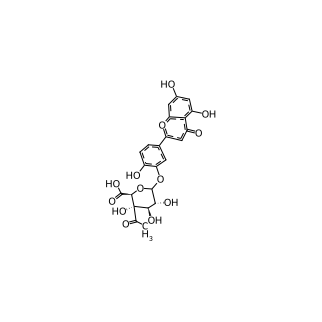 CC(=O)[C@@]1(O)[C@@H](C(=O)O)OC(Oc2cc(-c3cc(=O)c4c(O)cc(O)cc4o3)ccc2O)[C@H](O)[C@H]1O